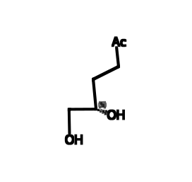 CC(=O)CC[C@H](O)CO